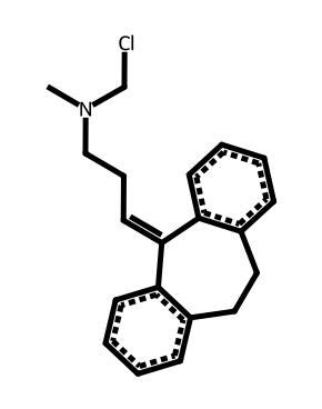 CN(CCl)CCC=C1c2ccccc2CCc2ccccc21